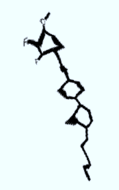 CCCCCC1CCC(C2CCC(C#Cc3ccc(OC)c(F)c3F)CC2)CC1